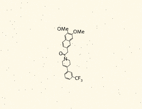 COc1cc2ccc(CC(=O)N3CC=C(c4cccc(C(F)(F)F)c4)CC3)cc2cc1OC